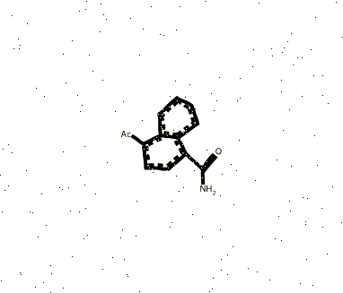 CC(=O)c1ccc(C(N)=O)c2ccccc12